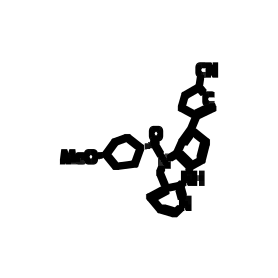 CO[C@H]1CC[C@H](C(=O)N2Cc3cccnc3Nc3ccc(C4=CCC(C#N)CC4)cc32)CC1